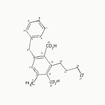 Cc1cc(Cc2ccccc2)c(C(=O)O)c(CCCCl)c1C(=O)O